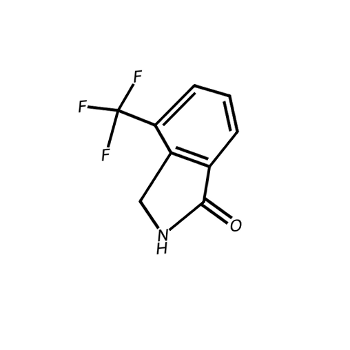 O=C1NCc2c1cccc2C(F)(F)F